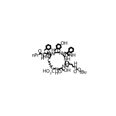 CCCC(=O)N[C@H](Cc1ccccc1)C(=O)N[C@H]1CSSC[C@@H](C(=O)O)NC(=O)[C@H]([C@@H](C)O)NC(=O)[C@H](CCCCNC(=O)OC(C)(C)C)NC(=O)[C@@H](Cc2c[nH]c3ccccc23)NC(=O)[C@H](Cc2ccc(O)cc2)NC1=O